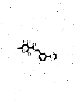 Cc1cc(O)c(C(=O)C=Cc2cccc(C3OCCO3)c2)c(=O)o1